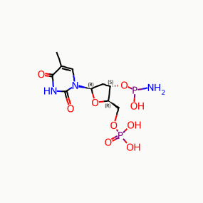 Cc1cn([C@H]2C[C@H](OP(N)O)[C@@H](COP(=O)(O)O)O2)c(=O)[nH]c1=O